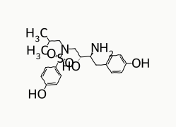 CC(C)CN(C[C@@H](O)[C@@H](N)Cc1ccc(O)cc1)S(=O)(=O)c1ccc(O)cc1